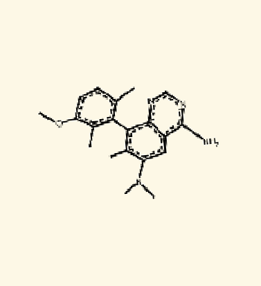 COc1ccc(C)c(-c2c(C)c(N(C)C)cc3c(N)ncnc23)c1C